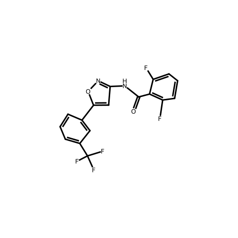 O=C(Nc1cc(-c2cccc(C(F)(F)F)c2)on1)c1c(F)cccc1F